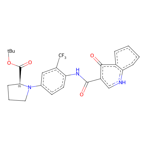 CC(C)(C)OC(=O)[C@@H]1CCCN1c1ccc(NC(=O)c2c[nH]c3ccccc3c2=O)c(C(F)(F)F)c1